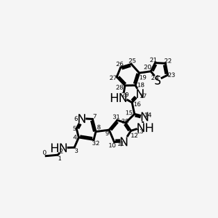 CCNCc1cncc(-c2cnc3[nH]nc(-c4nc5c(-c6cccs6)cccc5[nH]4)c3c2)c1